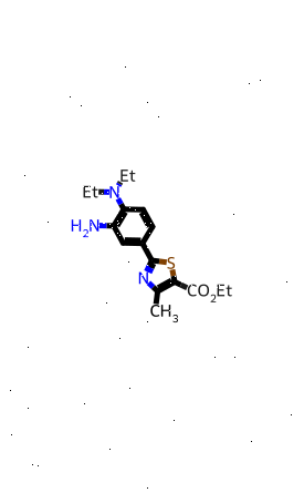 CCOC(=O)c1sc(-c2ccc(N(CC)CC)c(N)c2)nc1C